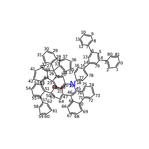 c1ccc(-c2cc(-c3ccccc3)cc(-c3ccc(N(c4ccc5c(c4)C(c4ccccc4)(c4ccccc4)c4ccccc4-5)c4c(-c5ccc(-c6ccccc6-c6ccccc6)cc5)c5ccccc5c5ccccc45)cc3)c2)cc1